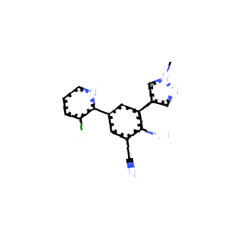 Cn1cc(-c2cc(-c3ncccc3Cl)cc(C#N)c2N)cn1